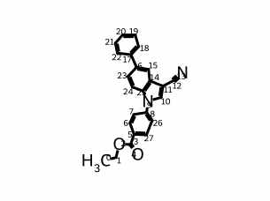 CCOC(=O)c1ccc(-n2cc(C#N)c3cc(-c4ccccc4)ccc32)cc1